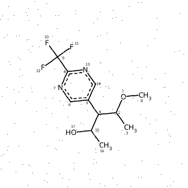 COC(C)C(c1cnc(C(F)(F)F)nc1)C(C)O